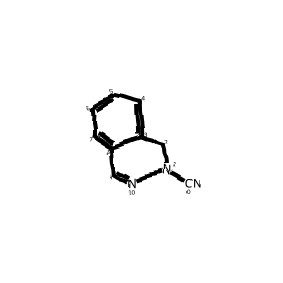 N#CN1Cc2ccccc2C=N1